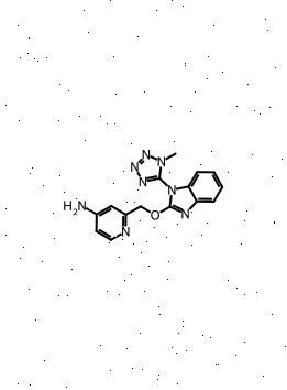 Cn1nnnc1-n1c(OCc2cc(N)ccn2)nc2ccccc21